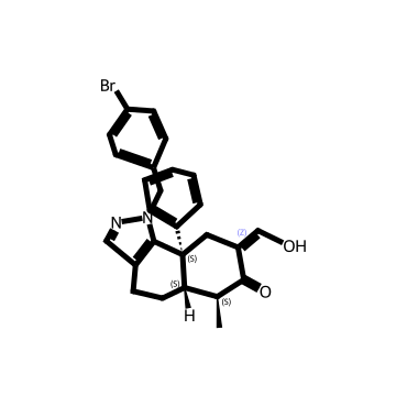 C[C@@H]1C(=O)/C(=C\O)C[C@]2(c3ccccc3)c3c(cnn3Cc3ccc(Br)cc3)CC[C@@H]12